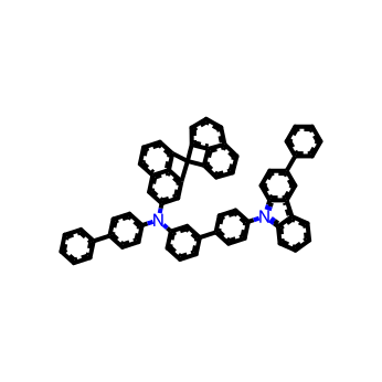 c1ccc(-c2ccc(N(c3cccc(-c4ccc(-n5c6ccccc6c6cc(-c7ccccc7)ccc65)cc4)c3)c3cc4c5c(cccc5c3)C43c4cccc5cccc3c45)cc2)cc1